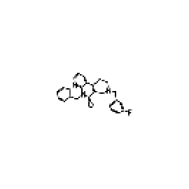 O=c1c2c(c3cccnc3n1Cc1ccccc1)CCN(Cc1cccc(F)c1)C2